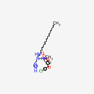 CCC=CCC=CCC=CCC=CCC=CCC=CCCC(=O)NCCN(CCCN1CCNCC1)CCNC(=O)C(C)(C)Oc1ccc(C(=O)c2ccc(Cl)cc2)cc1